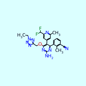 CCn1nnc(COc2nc(N)nc(-c3cccc(C#N)c3C)c2-c2cc(C)nc(C(F)F)c2)n1